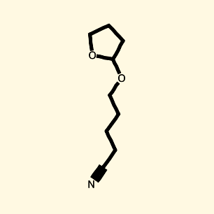 N#CCCCCOC1CCCO1